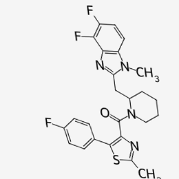 Cc1nc(C(=O)N2CCCCC2Cc2nc3c(F)c(F)ccc3n2C)c(-c2ccc(F)cc2)s1